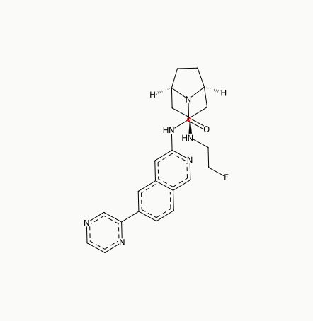 O=C(Nc1cc2cc(-c3cnccn3)ccc2cn1)N1[C@@H]2CC[C@H]1C[C@@H](NCCF)C2